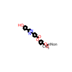 CCCCCCCCCC(=O)OC(C)c1ccc(OC(=O)c2ccc(-c3ncc(-c4ccc(O)cc4)cn3)cc2)cc1